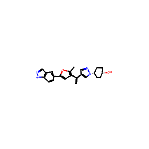 C=C(c1cnn([C@H]2CC[C@H](O)CC2)c1)c1cc(-c2ccc3[nH]ncc3c2)oc1C